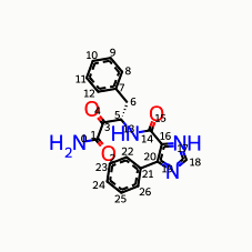 NC(=O)C(=O)[C@H](Cc1ccccc1)NC(=O)c1[nH]cnc1-c1ccccc1